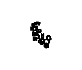 CCCOc1nc(C)c(C(=O)NCC(CC)C(=O)N[C@@H]2C(=O)N3CCCN3Cc3ccccc32)s1